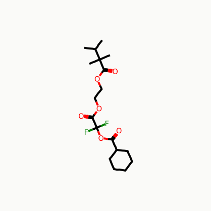 CC(C)C(C)(C)C(=O)OCCOC(=O)C(F)(F)OC(=O)C1CCCCC1